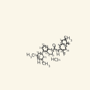 Cc1cc2cc(NC(=O)N3CCc4c(N5C[C@@H](C)N[C@@H](C)C5)ccnc43)c(F)cn2n1.Cl